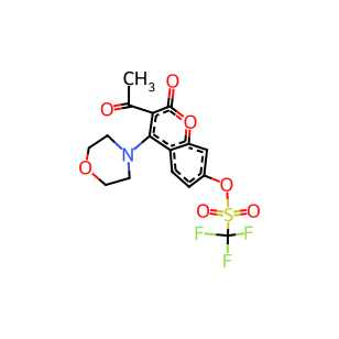 CC(=O)c1c(N2CCOCC2)c2ccc(OS(=O)(=O)C(F)(F)F)cc2oc1=O